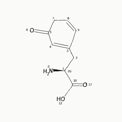 N[C@@H](CC1=CC(=O)CC=C1)C(=O)O